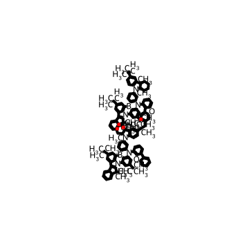 CC(C)(C)c1cc2c3c(c1)-n1c4c(c5cc(C(C)(C)C)cc(c51)B3c1ccc(N3c5ccc(C(C)(C)Cc6ccc7c(c6)oc6cccc(N8c9cc(N%10c%11ccc(C(C)(C)C)cc%11C%11(C)CCCCC%10%11C)ccc9B9c%10c8cc(C(C)(C)C)cc%10-n8c%10c(c%11cc(C(C)(C)C)cc9c%118)-c8ccccc8C%10(C)C)c67)cc5C5(C)CCCCC35C)cc1N2c1cccc2c1oc1ccccc12)-c1ccccc1C4(C)C